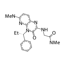 CC[C@@H](c1ccccc1)n1c(=O)c(NCC(=O)NC)nc2ccc(NC)nc21